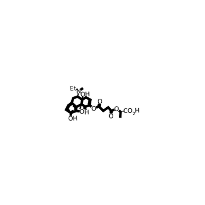 CCN(C)[C@@H]1Cc2ccc(O)c3c2[C@@]2(C)[C@@H](O3)C(OC(=O)CCC(=O)O[C@@H](C)C(=O)O)=CC[C@@]12O